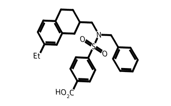 CCc1ccc2c(c1)CC(CN(Cc1ccccc1)S(=O)(=O)c1ccc(C(=O)O)cc1)CC2